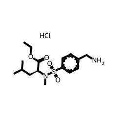 CCOC(=O)[C@H](CC(C)C)N(C)S(=O)(=O)c1ccc(CN)cc1.Cl